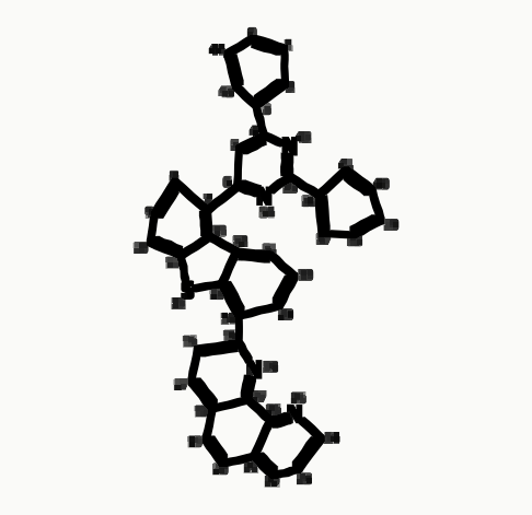 c1ccc(-c2cc(-c3cccc4sc5c(-c6ccc7ccc8cccnc8c7n6)cccc5c34)nc(-c3ccccc3)n2)cc1